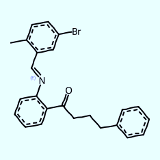 Cc1ccc(Br)cc1/C=N/c1ccccc1C(=O)CCCc1ccccc1